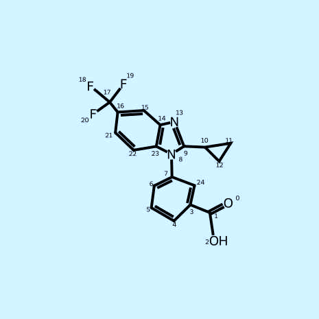 O=C(O)c1cccc(-n2c(C3CC3)nc3cc(C(F)(F)F)ccc32)c1